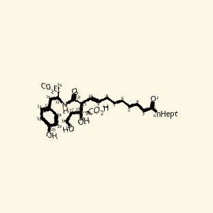 CCCCCCCC(=O)CCCCCC/C=C/[C@H](C(=O)N[C@@H](Cc1ccc(O)cc1)C(=O)OCC)[C@@](O)(CCO)C(=O)O